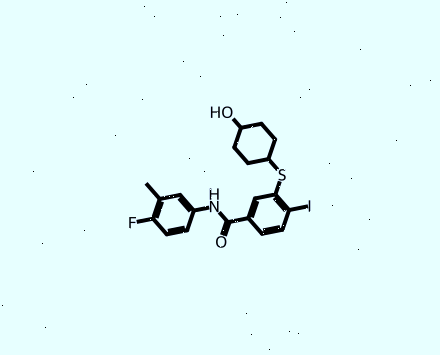 Cc1cc(NC(=O)c2ccc(I)c(SC3CCC(O)CC3)c2)ccc1F